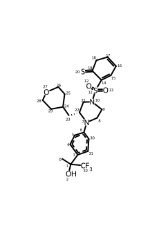 CC(O)(c1ccc(N2CCN(S(=O)(=O)C3=CC=CCC3=S)C[C@H]2CC2CCOCC2)cc1)C(F)(F)F